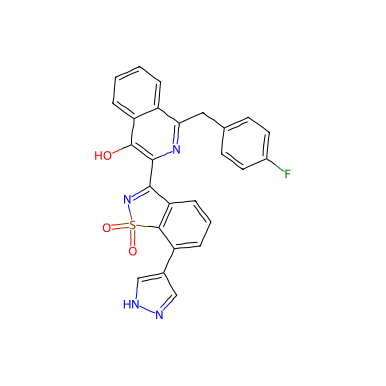 O=S1(=O)N=C(c2nc(Cc3ccc(F)cc3)c3ccccc3c2O)c2cccc(-c3cn[nH]c3)c21